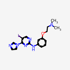 CN(C)CCOc1cccc(Nc2ncc(I)c(-n3ccnc3)n2)c1